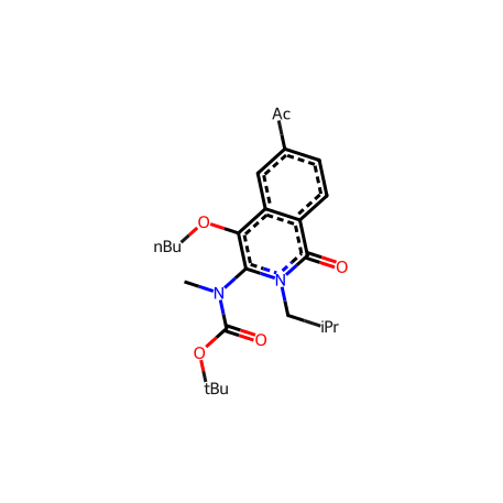 CCCCOc1c(N(C)C(=O)OC(C)(C)C)n(CC(C)C)c(=O)c2ccc(C(C)=O)cc12